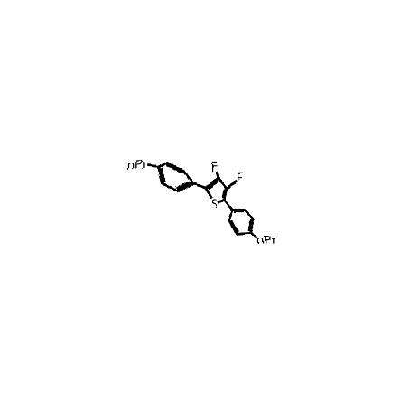 CCCc1ccc(-c2sc(-c3ccc(CCC)cc3)c(F)c2F)cc1